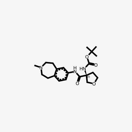 CN1CCc2ccc(NC(=O)[C@]3(NC(=O)OC(C)(C)C)CCOC3)cc2CC1